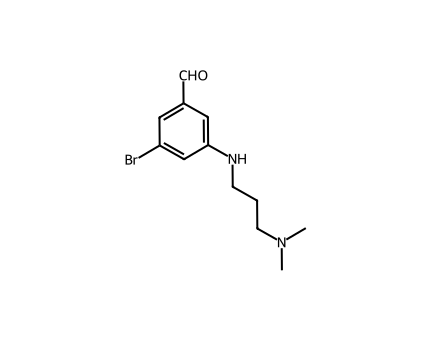 CN(C)CCCNc1cc(Br)cc(C=O)c1